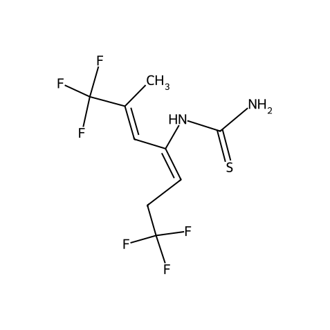 C/C(=C\C(=C/CC(F)(F)F)NC(N)=S)C(F)(F)F